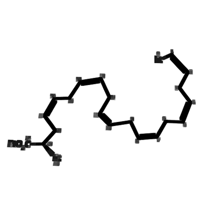 CC/C=C\C/C=C\C/C=C\C/C=C\C/C=C\C/C=C\C[C@@H](CC)C(=O)OCC